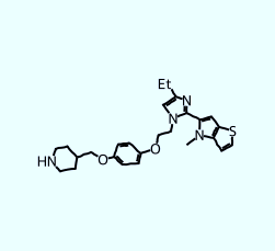 CCc1cn(CCOc2ccc(OCC3CCNCC3)cc2)c(-c2cc3sccc3n2C)n1